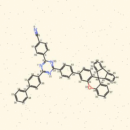 N#Cc1ccc(-c2nc(-c3ccc(-c4ccccc4)cc3)nc(-c3ccc(-c4ccc5c(c4)Oc4ccccc4C54c5ccccc5-c5ccccc54)cc3)n2)cc1